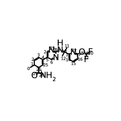 CC1C=CC(c2cnc(NC(C)(C)c3cccc(OC(F)F)n3)nc2)=CC1C(N)=O